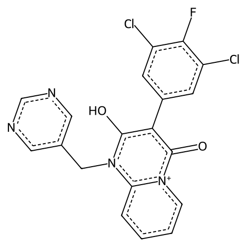 O=c1c(-c2cc(Cl)c(F)c(Cl)c2)c(O)n(Cc2cncnc2)c2cccc[n+]12